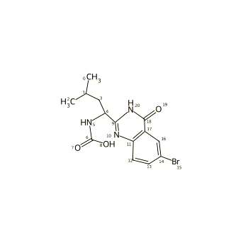 CC(C)CC(NC(=O)O)c1nc2ccc(Br)cc2c(=O)[nH]1